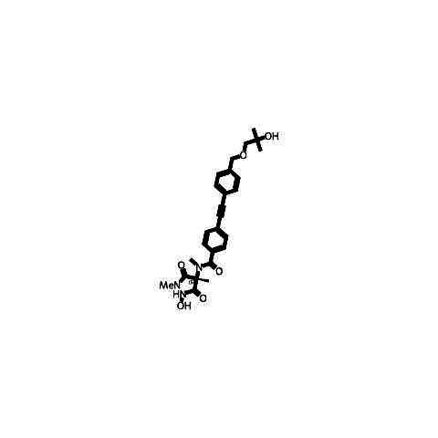 CNC(=O)[C@@](C)(C(=O)NO)N(C)C(=O)c1ccc(C#Cc2ccc(COCC(C)(C)O)cc2)cc1